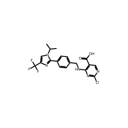 CC(C)n1cc(C(F)(F)F)nc1-c1ccc(CNc2nc(Cl)ncc2C(=O)O)cc1